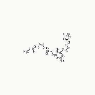 C=CC(=O)OC/C=C\COC(=O)CCC(CN(CC)CC)C(=O)OC/C=C\COC(=O)C=C